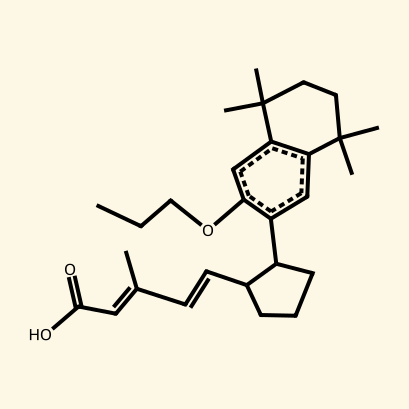 CCCOc1cc2c(cc1C1CCCC1C=CC(C)=CC(=O)O)C(C)(C)CCC2(C)C